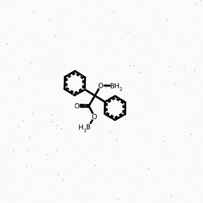 BOC(=O)C(OB)(c1ccccc1)c1ccccc1